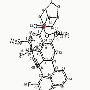 CSc1nc(N2CC3CCC(C2)N3C(=O)OC(C)(C)C)c2c(OC(C)C)nc(-c3cccc4ccc(F)c(C#C[Si](C(C)C)(C(C)C)C(C)C)c34)c(F)c2n1